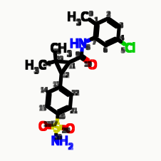 Cc1ccc(Cl)cc1NC(=O)C1C(c2ccc(S(N)(=O)=O)cc2)C1(C)C